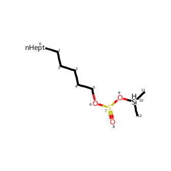 CCCCCCCCCCCCOS(=O)O[SiH](C)C